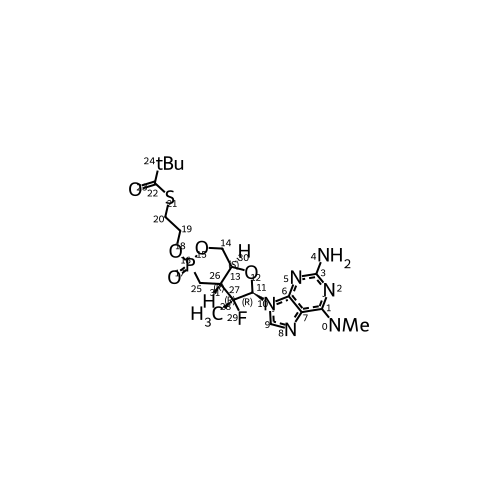 CNc1nc(N)nc2c1ncn2[C@@H]1O[C@@H]2COP(=O)(OCCSC(=O)C(C)(C)C)C[C@H]2[C@@]1(C)F